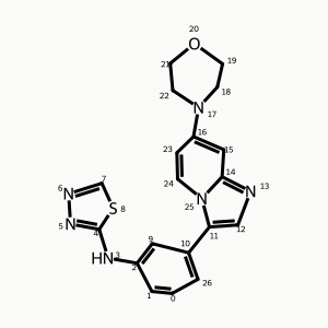 c1cc(Nc2nncs2)cc(-c2cnc3cc(N4CCOCC4)ccn23)c1